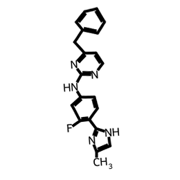 Cc1c[nH]c(-c2ccc(Nc3nccc(Cc4ccccc4)n3)cc2F)n1